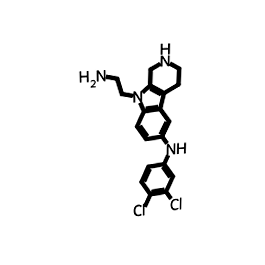 NCCn1c2c(c3cc(Nc4ccc(Cl)c(Cl)c4)ccc31)CCNC2